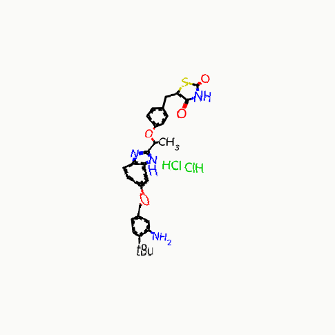 CC(Oc1ccc(CC2SC(=O)NC2=O)cc1)c1nc2ccc(OCc3ccc(C(C)(C)C)c(N)c3)cc2[nH]1.Cl.Cl